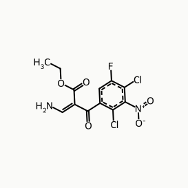 CCOC(=O)C(=CN)C(=O)c1cc(F)c(Cl)c([N+](=O)[O-])c1Cl